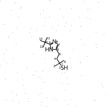 CC(C)(S)CCc1cnc(C(C)(C)C)[nH]1